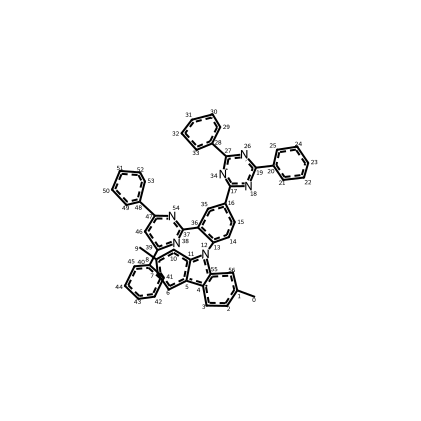 Cc1ccc2c3ccc(C)cc3n(-c3ccc(-c4nc(-c5ccccc5)nc(-c5ccccc5)n4)cc3-c3nc(-c4ccccc4)cc(-c4ccccc4)n3)c2c1